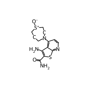 NC(=O)c1sc2nccc(N3CCC[S+]([O-])CC3)c2c1N